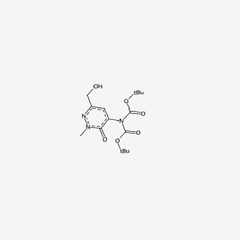 Cn1nc(CO)cc(N(C(=O)OC(C)(C)C)C(=O)OC(C)(C)C)c1=O